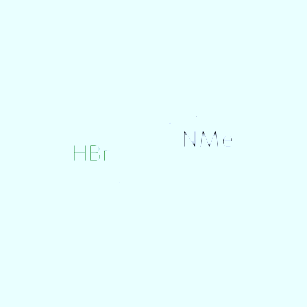 Br.CC.CNC